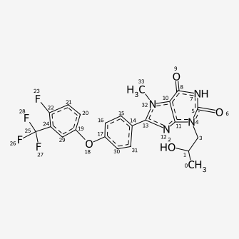 CC(O)Cn1c(=O)[nH]c(=O)c2c1nc(-c1ccc(Oc3ccc(F)c(C(F)(F)F)c3)cc1)n2C